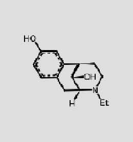 CCN1CC[C@]23CCCC[C@@]2(O)[C@H]1Cc1ccc(O)cc13